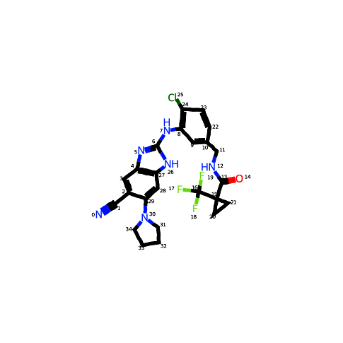 N#Cc1cc2nc(Nc3cc(CNC(=O)C4(C(F)(F)F)CC4)ccc3Cl)[nH]c2cc1N1CCCC1